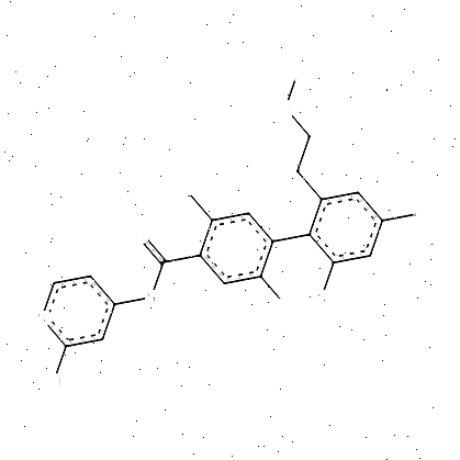 CCOCCc1cc(F)cc(N)c1-c1cc(Cl)c(C(=O)Nc2ccnc(C(F)(F)F)c2)cc1F